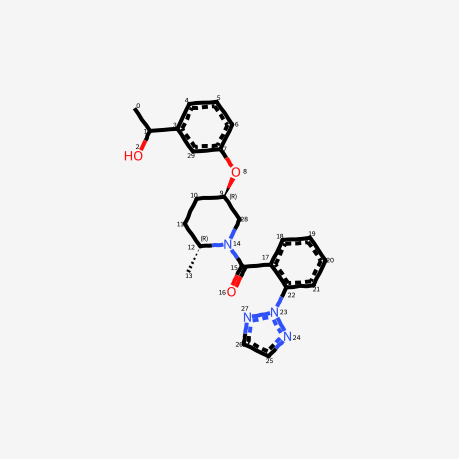 CC(O)c1cccc(O[C@@H]2CC[C@@H](C)N(C(=O)c3ccccc3-n3nccn3)C2)c1